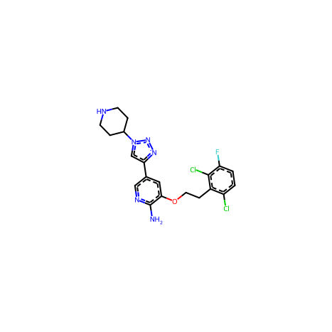 Nc1ncc(-c2cn(C3CCNCC3)nn2)cc1OCCc1c(Cl)ccc(F)c1Cl